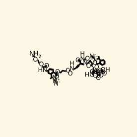 CC(N=[N+]=[N-])c1cc(NC(=O)COCCOCCN)ccc1C(=O)OCCCCC(=O)NCC#Cc1cn([C@H]2CC(OC(=O)c3ccccc3C(C)N=[N+]=[N-])[C@@H](COP(=O)(O)OP(=O)(O)OP(=O)(O)O)O2)c(=O)[nH]c1=O